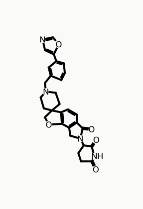 O=C1CCC(N2Cc3c(ccc4c3OCC43CCN(Cc4cccc(-c5cnco5)c4)CC3)C2=O)C(=O)N1